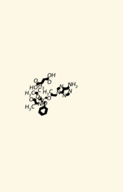 CC(C)OC(=O)[C@H](C)N[P@](=O)(COC(C)Cn1cnc2c(N)ncnc21)Oc1ccccc1.O=C(O)C=CC(=O)O